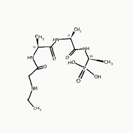 CCNCC(=O)N[C@@H](C)C(=O)N[C@@H](C)C(=O)N[C@@H](C)P(=O)(O)O